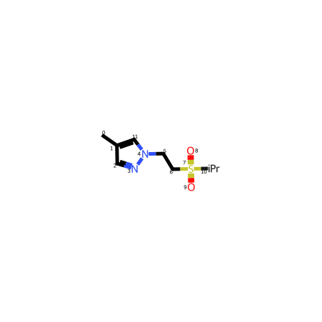 Cc1cnn(CCS(=O)(=O)C(C)C)c1